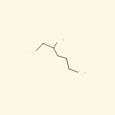 BCC(C)CCCN